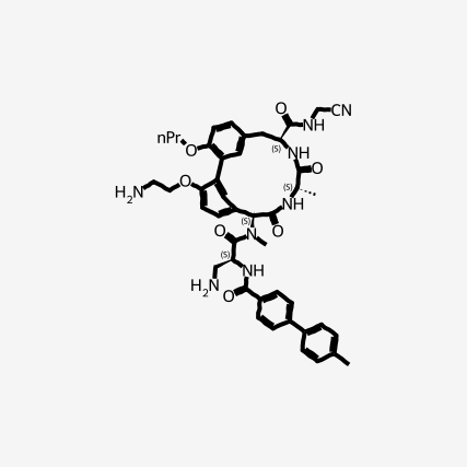 CCCOc1ccc2cc1-c1cc(ccc1OCCN)[C@H](N(C)C(=O)[C@H](CN)NC(=O)c1ccc(-c3ccc(C)cc3)cc1)C(=O)N[C@@H](C)C(=O)N[C@H](C(=O)NCC#N)C2